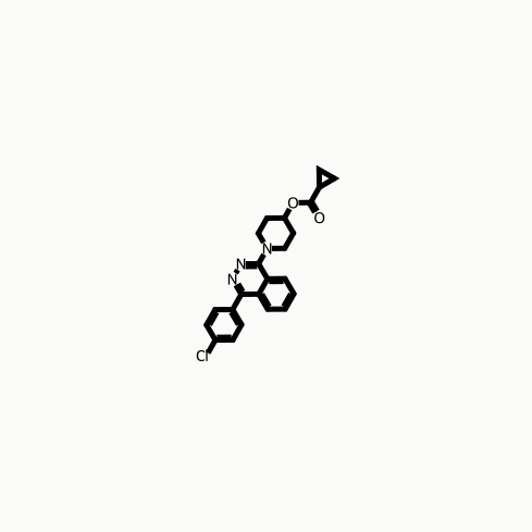 O=C(OC1CCN(c2nnc(-c3ccc(Cl)cc3)c3ccccc23)CC1)C1CC1